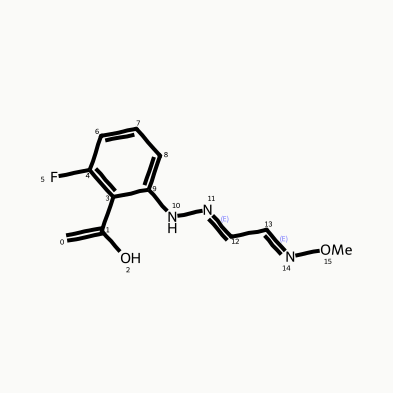 C=C(O)c1c(F)cccc1N/N=C/C=N/OC